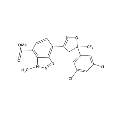 COC(=O)c1ccc(C2=NOC(c3cc(Cl)cc(Cl)c3)(C(F)(F)F)C2)c2nnn(C)c12